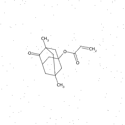 C=CC(=O)OC12CC3CC(C)(C1)CC(C)(C2)C3=O